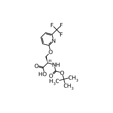 CC(C)(C)OC(=O)N[C@H](COc1cccc(C(F)(F)F)n1)C(=O)O